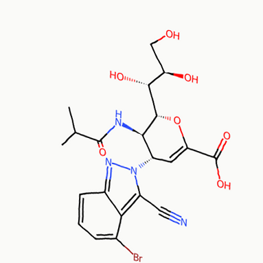 CC(C)C(=O)N[C@H]1[C@H]([C@H](O)[C@H](O)CO)OC(C(=O)O)=C[C@@H]1n1nc2cccc(Br)c2c1C#N